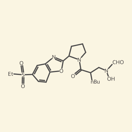 CCCCC(CN(O)C=O)C(=O)N1CCCC1c1nc2cc(S(=O)(=O)CC)ccc2o1